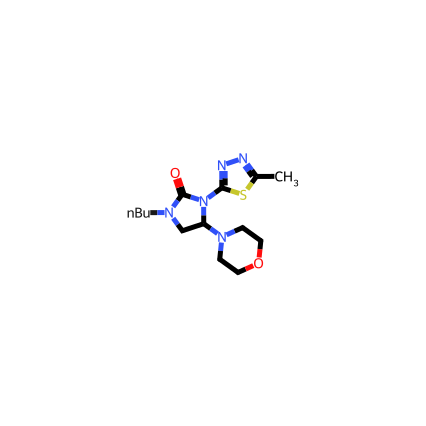 CCCCN1CC(N2CCOCC2)N(c2nnc(C)s2)C1=O